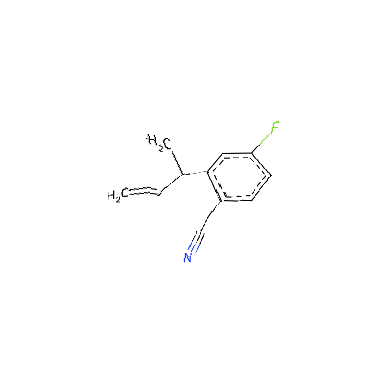 [CH2]C(C=C)c1cc(F)ccc1C#N